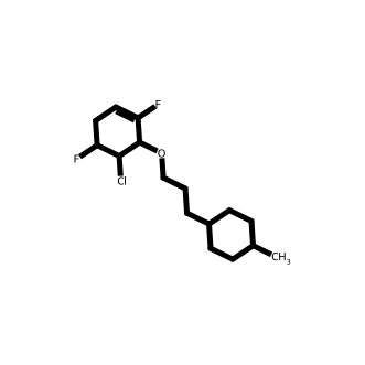 CC1CCC(CCCOC2C(F)=CCC(F)C2Cl)CC1